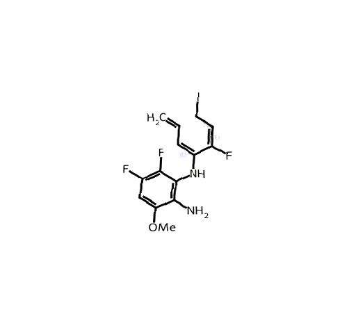 C=C/C=C(Nc1c(N)c(OC)cc(F)c1F)\C(F)=C/CI